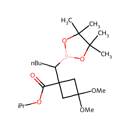 CCCCC(B1OC(C)(C)C(C)(C)O1)C1(C(=O)OC(C)C)CC(OC)(OC)C1